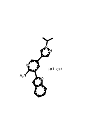 CC(C)n1cc(-c2cnc(N)c(-c3cc4ccccc4o3)c2)cn1.Cl.Cl